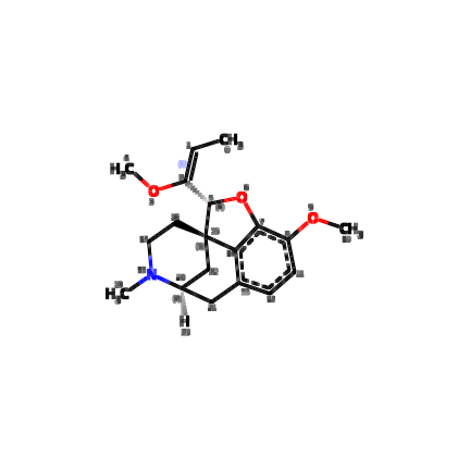 C/C=C(/OC)[C@@H]1Oc2c(OC)ccc3c2[C@@]12CCN(C)[C@H](C3)C2